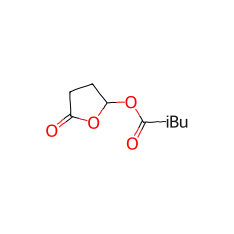 CCC(C)C(=O)OC1CCC(=O)O1